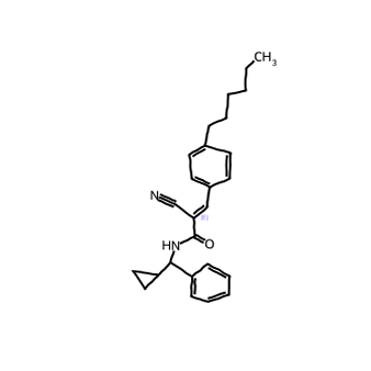 CCCCCCc1ccc(/C=C(\C#N)C(=O)NC(c2ccccc2)C2CC2)cc1